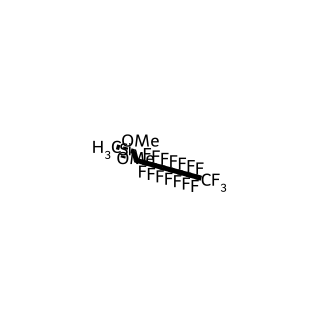 CO[Si](C)(CCC(F)(F)C(F)(F)C(F)(F)C(F)(F)C(F)(F)C(F)(F)C(F)(F)C(F)(F)F)OC